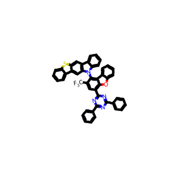 FC(F)(F)c1cc(-c2nc(-c3ccccc3)nc(-c3ccccc3)n2)c2oc3ccccc3c2c1-n1c2ccccc2c2cc3sc4ccccc4c3cc21